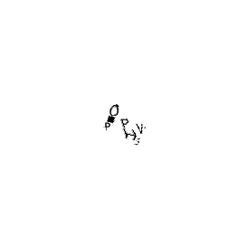 O=[P].P.[V]